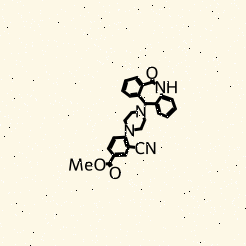 COC(=O)c1ccc(N2CCN(C3c4ccccc4NC(=O)c4ccccc43)CC2)c(C#N)c1